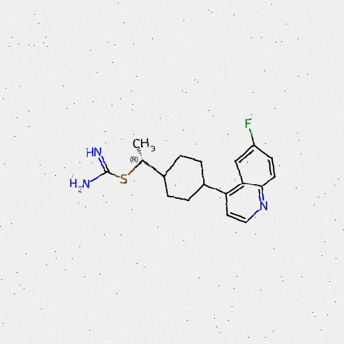 C[C@@H](SC(=N)N)C1CCC(c2ccnc3ccc(F)cc23)CC1